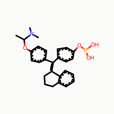 CC(Oc1ccc(C(=C2CCCc3ccccc32)c2ccc(OP(O)O)cc2)cc1)N(C)C